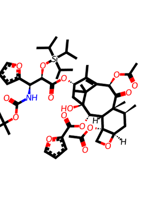 CC(=O)O[C@H]1C(=O)[C@@]2(C)[C@H]([C@H](OC(=O)c3ccco3)[C@]3(O)C[C@H](OC(=O)[C@H](O[Si](C(C)C)(C(C)C)C(C)C)[C@@H](NC(=O)OC(C)(C)C)c4ccco4)C(C)=C1C3(C)C)[C@]1(OC(C)=O)CO[C@@H]1C[C@@H]2C